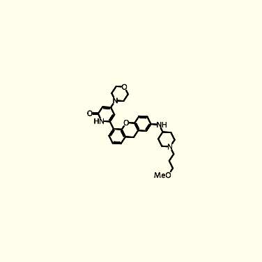 COCCCN1CCC(Nc2ccc3c(c2)Cc2cccc(-c4cc(N5CCOCC5)cc(=O)[nH]4)c2O3)CC1